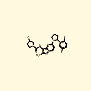 Cc1nn2ccc(N3CCCC3c3cc(F)ccc3F)nc2c1NC(=O)N1CCC(O)C1